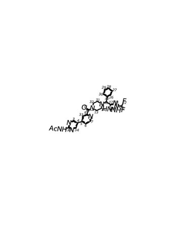 CC(=O)Nc1ncc(-c2ccnc(C(=O)N3CCN(C(C4=NN(C(F)F)NN4)c4ccccc4)CC3)c2)cn1